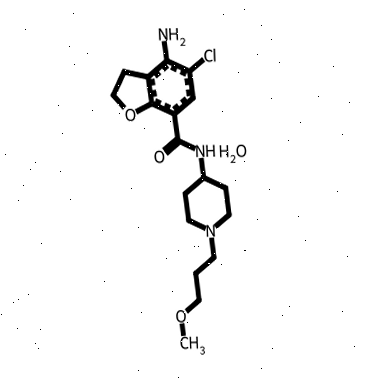 COCCCN1CCC(NC(=O)c2cc(Cl)c(N)c3c2OCC3)CC1.O